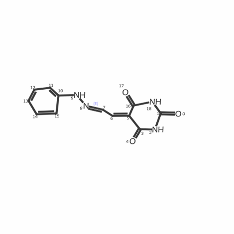 O=C1NC(=O)C(=C/C=N/Nc2ccccc2)C(=O)N1